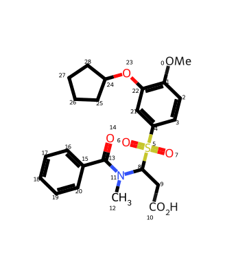 COc1ccc(S(=O)(=O)C(CC(=O)O)N(C)C(=O)c2ccccc2)cc1OC1CCCC1